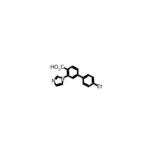 CCc1ccc(-c2ccc(C(=O)O)c(-n3ccnc3)c2)cc1